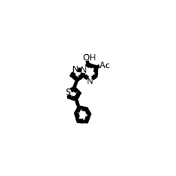 CC(=O)c1cnc2c(-c3cc(-c4ccccc4)cs3)cnn2c1O